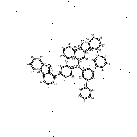 c1ccc(-c2cccc(N(c3ccc(-c4cccc5c4oc4ccccc45)cc3)c3cc4c(oc5cccc(-c6ccccc6)c54)c4ccccc34)c2)cc1